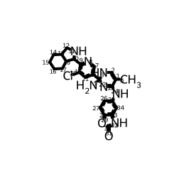 CC1=CNC(N)(c2cnc(C3NCC4CCCCC43)c(Cl)c2)N=C1Nc1ccc2oc(=O)[nH]c2c1